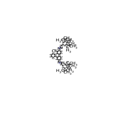 CC(C)(C)C1=CC(=C/N=N/c2ccc(-c3ccc(/N=N/C=C4C=C(C(C)(C)C)C(=O)C(C(C)(C)C)=C4)c(Cl)c3)c(-c3ccccc3)c2)C=C(C(C)(C)C)C1=O